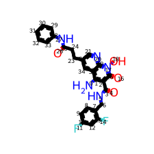 Nc1c(C(=O)NCc2ccc(F)cc2F)c(=O)n(O)c2ncc(CCC(=O)Nc3ccccc3)cc12